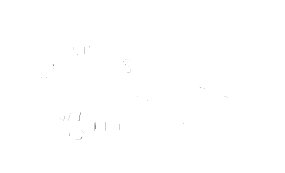 C[SiH]1O[SiH](C)O[Si](C)(C2CC2(C(C)(C)C)C(C)(C)C)O[SiH](C)O1